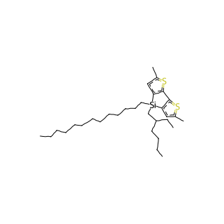 CCCCCCCCCCCCC[Si]1(CC(CC)CCCC)c2cc(C)sc2-c2sc(C)cc21